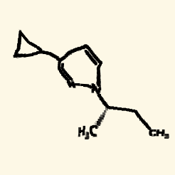 CC[C@H](C)n1ccc(C2CC2)n1